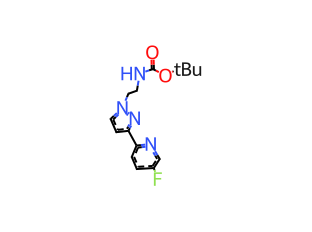 CC(C)(C)OC(=O)NCCn1ccc(-c2ccc(F)cn2)n1